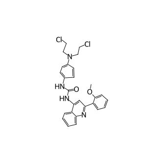 COc1ccccc1-c1cc(NC(=O)Nc2ccc(N(CCCl)CCCl)cc2)c2ccccc2n1